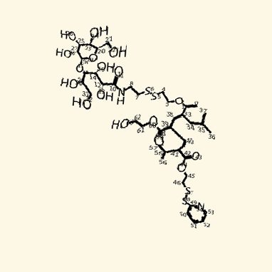 C=C(OCCSSCCNC(=O)[C@H](O)[C@@H](O)C(O[C@@H]1O[C@H](CO)[C@H](O)[C@H](O)[C@H]1O)[C@H](O)CO)C(CC(C)C)CC(CC(C(=O)OCCSSc1ccccn1)C(C)C)C(=O)OCCO